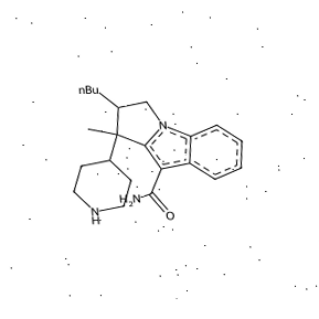 CCCCC1Cn2c(c(C(N)=O)c3ccccc32)C1(C)C1CCNCC1